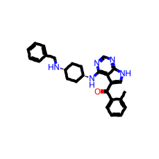 Cc1ccccc1C(=O)c1c[nH]c2ncnc(N[C@H]3CC[C@@H](NCc4ccccc4)CC3)c12